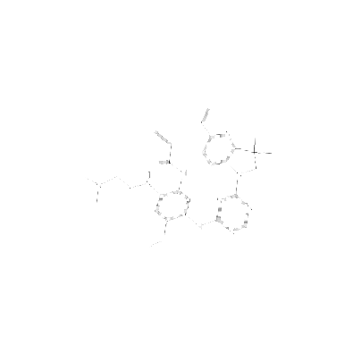 C=CC(=O)Nc1cc(Nc2ncnc(N3CC(C)(C)c4nc(C=C)ccc43)n2)c(OC)cc1N(C)CCN(C)C